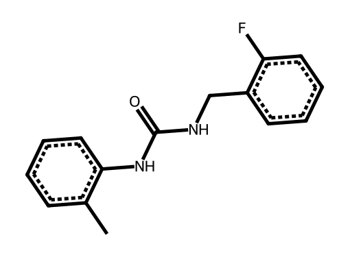 Cc1ccccc1NC(=O)NCc1ccccc1F